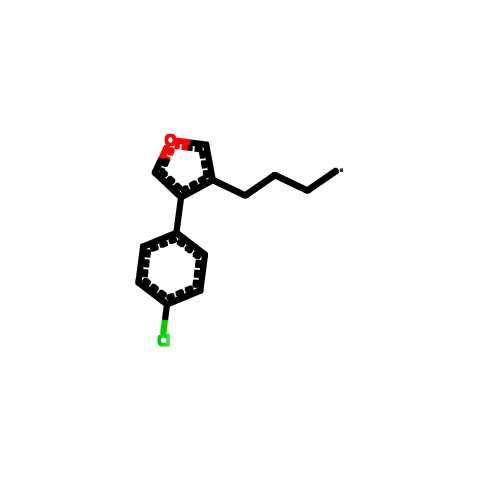 [CH2]CCCc1cocc1-c1ccc(Cl)cc1